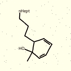 CCCCCCCCCCC1C=CC=CC1(C)O